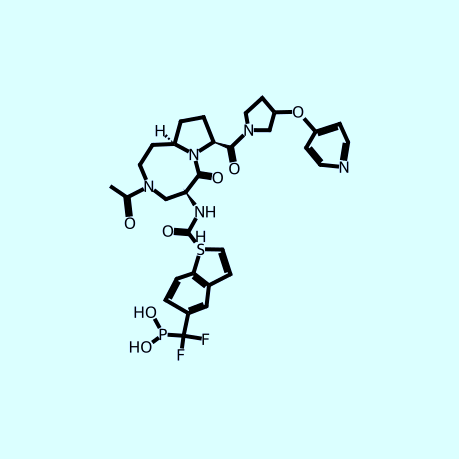 CC(=O)N1CC[C@H]2CC[C@@H](C(=O)N3CCC(Oc4ccncc4)C3)N2C(=O)[C@@H](NC(=O)[SH]2C=Cc3cc(C(F)(F)P(O)O)ccc32)C1